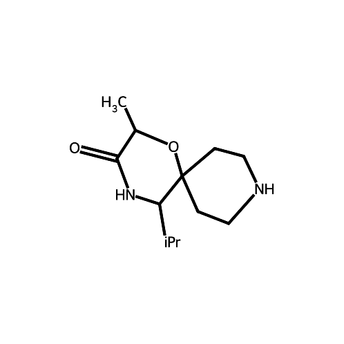 CC1OC2(CCNCC2)C(C(C)C)NC1=O